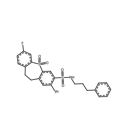 CC(C)c1cc2c(cc1S(=O)(=O)NCCCc1ccccc1)S(=O)(=O)c1cc(F)ccc1CC2